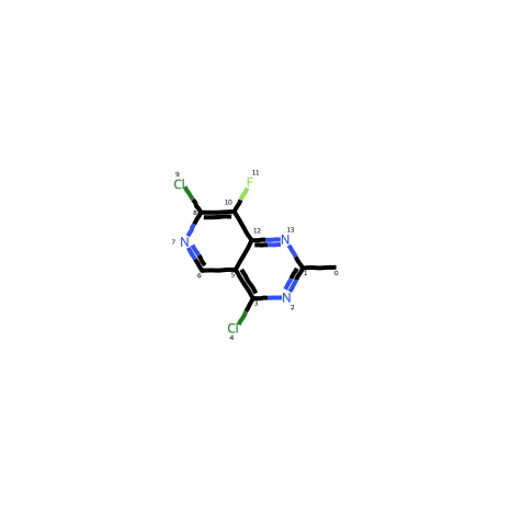 Cc1nc(Cl)c2cnc(Cl)c(F)c2n1